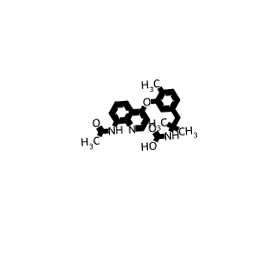 CC(=O)Nc1cccc2c(Oc3cc(CC(C)(C)NC(=O)O)ccc3C)ccnc12